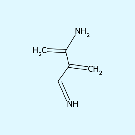 C=C(N)C(=C)C=N